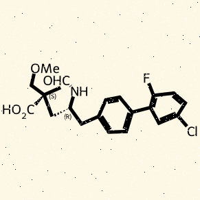 COC[C@](C)(C[C@@H](Cc1ccc(-c2cc(Cl)ccc2F)cc1)NC=O)C(=O)O